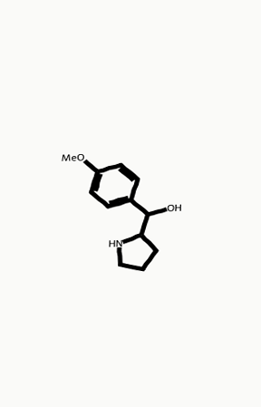 COc1ccc(C(O)C2CCCN2)cc1